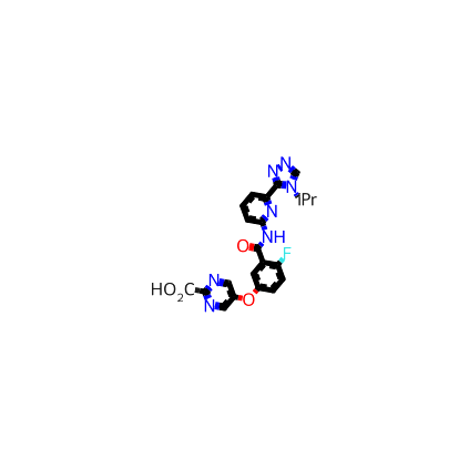 CC(C)n1cnnc1-c1cccc(NC(=O)c2cc(Oc3cnc(C(=O)O)nc3)ccc2F)n1